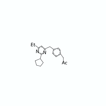 CCc1cc(Cc2ccc(CC(C)=O)cc2)nc(C2CCCC2)n1